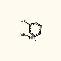 CCCCN.Sc1ccccc1